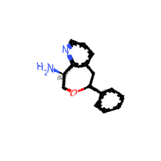 N[C@@H]1COC(c2ccccc2)Cc2cccnc21